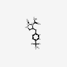 CC(F)(F)c1ccc(CC2COS(=O)N2C(=O)O)cc1